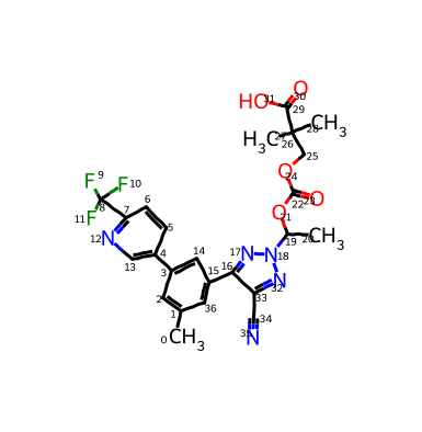 Cc1cc(-c2ccc(C(F)(F)F)nc2)cc(-c2nn(C(C)OC(=O)OCC(C)(C)C(=O)O)nc2C#N)c1